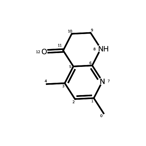 Cc1cc(C)c2c(n1)NCCC2=O